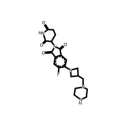 O=C1CCC(N2C(=O)c3cc(F)c(N4CC(CN5CCNCC5)C4)cc3C2=O)C(=O)N1